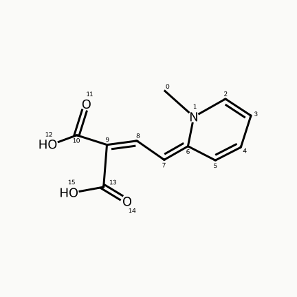 CN1C=CC=CC1=CC=C(C(=O)O)C(=O)O